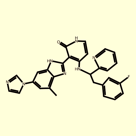 Cc1cc(-n2ccnc2)cc2[nH]c(-c3c(NC(Cc4cccc(F)c4)c4ccccn4)cc[nH]c3=O)nc12